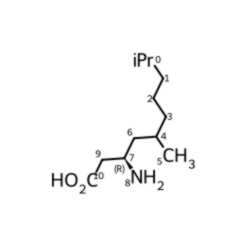 CC(C)CCCC(C)C[C@@H](N)CC(=O)O